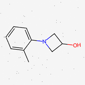 Cc1c[c]ccc1N1CC(O)C1